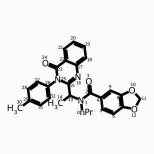 CCCN(C(=O)c1ccc2c(c1)OCO2)C(C)c1nc2ccccc2c(=O)n1-c1ccc(C)cc1